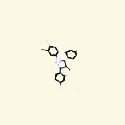 [C-]#[N+]c1ccc(N2N=C3c4ccc(C(=O)O)cc4OC[C@@H]3[C@@H]2c2ccc(F)cc2)cc1Cl